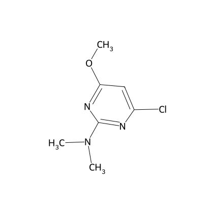 COc1cc(Cl)nc(N(C)C)n1